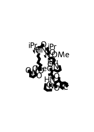 CCC(C)C(C(CC(=O)N1CCC[C@H]1C(OC)C(C)C(=O)NC(C(=O)N1CCCCO1)C(C)c1ccccc1)OC)N(C)C(=O)C(NC(=O)C(C(C)C)N(C)CCCCCC(=O)ON1C(=O)CCC1=O)C(C)C